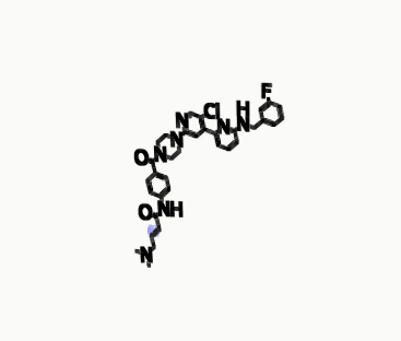 CN(C)C/C=C/C(=O)Nc1ccc(C(=O)N2CCN(c3cc(-c4cccc(NCc5cccc(F)c5)n4)c(Cl)cn3)CC2)cc1